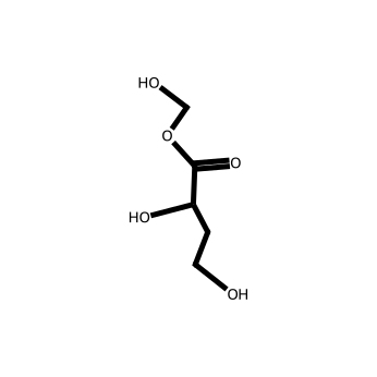 O=C(OCO)C(O)CCO